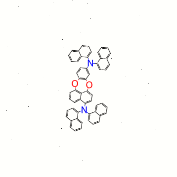 c1ccc2c(N(c3ccc4c(c3)Oc3ccc(N(c5cccc6ccccc56)c5cccc6ccccc56)c5cccc(c35)O4)c3cccc4ccccc34)cccc2c1